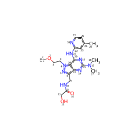 CCOCCn1nc(CNC(=O)CO)c2nc(N(C)C)nc(Nc3cc(C)ccn3)c21